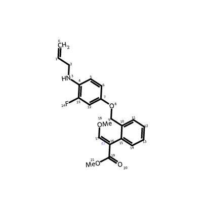 C=CCNc1ccc(OCc2ccccc2/C(=C\OC)C(=O)OC)cc1F